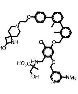 CNc1cncc(COc2cc(OCc3cccc(-c4cccc(-c5ccc(OCCN6CCC7(CC6)CC(O)N7)cc5)c4C)c3C)c(Cl)cc2CNC(C)(CO)C(=O)O)c1